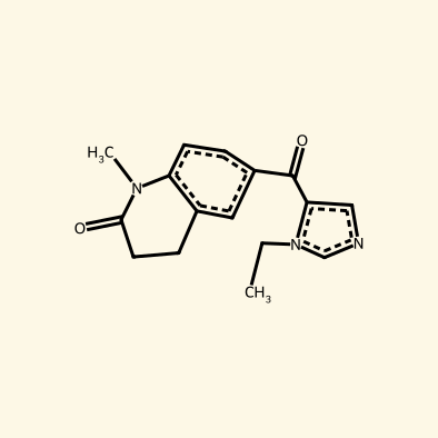 CCn1cncc1C(=O)c1ccc2c(c1)CCC(=O)N2C